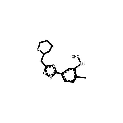 Cc1ccc(-c2noc(CC3CCCCO3)n2)cc1NC=O